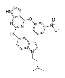 CN(C)CCn1ccc2cc(Nc3nc(Oc4cccc([N+](=O)[O-])c4)c4cc[nH]c4n3)ccc21